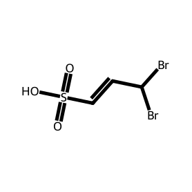 O=S(=O)(O)C=CC(Br)Br